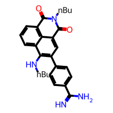 CCCCNc1c(-c2ccc(C(=N)N)cc2)cc2c3c(cccc13)C(=O)N(CCCC)C2=O